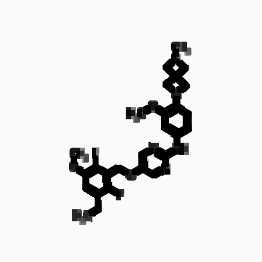 CCc1cc(OC)c(F)c(COc2cnc(Nc3ccc(N4CC5(CN(C)C5)C4)c(OC)c3)nc2)c1F